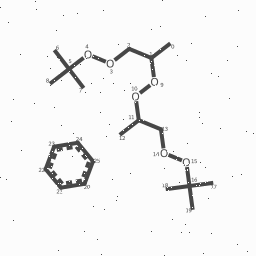 CC(COOC(C)(C)C)OOC(C)COOC(C)(C)C.c1ccccc1